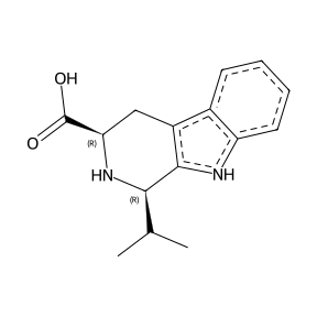 CC(C)[C@H]1N[C@@H](C(=O)O)Cc2c1[nH]c1ccccc21